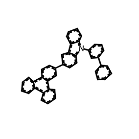 c1ccc(-c2cccc(-n3c4ccccc4c4cc(-c5ccc6c7ccccc7c7ccccc7c6c5)ccc43)c2)cc1